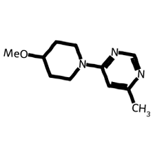 COC1CCN(c2cc(C)ncn2)CC1